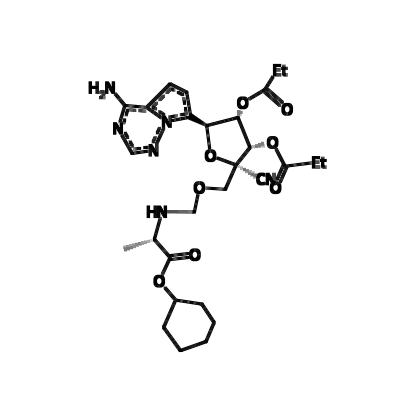 CCC(=O)O[C@H]1[C@H](c2ccc3c(N)ncnn23)O[C@](C#N)(COCN[C@@H](C)C(=O)OC2CCCCC2)[C@H]1OC(=O)CC